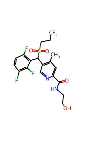 Cc1cc(C(=O)NCCO)ncc1C(c1c(F)ccc(F)c1F)S(=O)(=O)CCC(F)(F)F